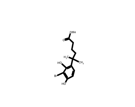 COC(=O)CCCC(C)(C)c1ccc(O)c(Br)c1O